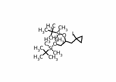 CC(C)(C)[Si](C)(C)OCC(CC1(I)CC1)O[Si](C)(C)C(C)(C)C